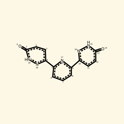 O=c1ccc(-c2cccc(-c3ccc(=O)[nH]n3)n2)n[nH]1